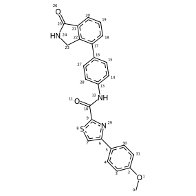 COc1ccc(-c2csc(C(=O)Nc3ccc(-c4cccc5c4CNC5=O)cc3)n2)cc1